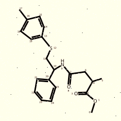 COC(=O)C(C)CC(=O)NC(CSc1ccc(C)cc1)c1ccccc1